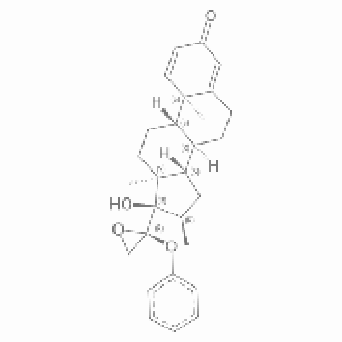 C[C@@H]1C[C@H]2[C@@H]3CCC4=CC(=O)C=C[C@]4(C)[C@H]3CC[C@]2(C)[C@@]1(O)[C@]1(Oc2ccccc2)CO1